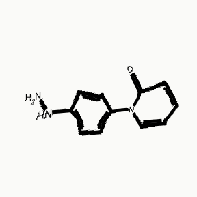 NNc1ccc(-n2ccccc2=O)cc1